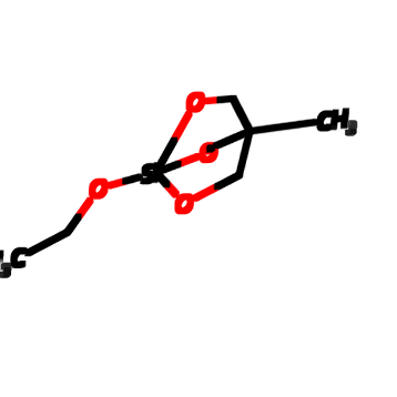 CCO[Si]12OCC(C)(CO1)CO2